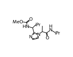 COC(=O)NC(c1nccn1C(C)C(=O)NC(C)C)C(C)C